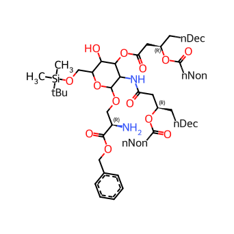 CCCCCCCCCCC[C@H](CC(=O)NC1C(OC[C@@H](N)C(=O)OCc2ccccc2)OC(CO[Si](C)(C)C(C)(C)C)C(O)C1OC(=O)C[C@@H](CCCCCCCCCCC)OC(=O)CCCCCCCCC)OC(=O)CCCCCCCCC